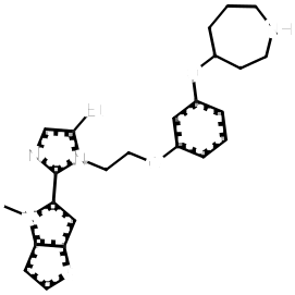 CCc1cnc(-c2cc3sccc3n2C)n1CCOc1cccc(OC2CCCNCC2)c1